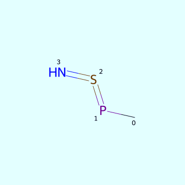 CP=S=N